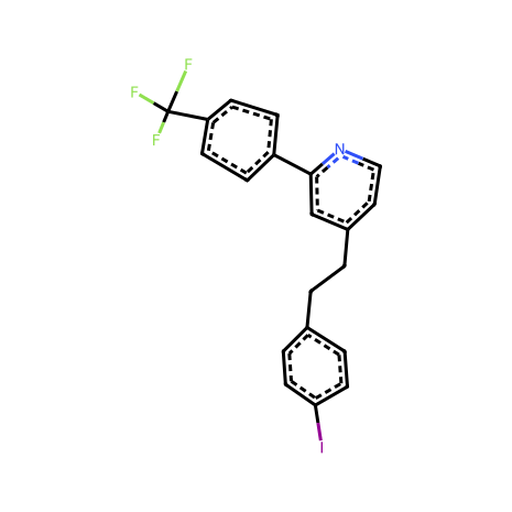 FC(F)(F)c1ccc(-c2cc(CCc3ccc(I)cc3)ccn2)cc1